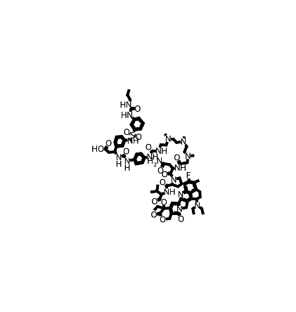 CCCNC(=O)Nc1cccc(S(=O)(=O)Nc2cccc(C(CC(=O)O)NC(=O)Nc3ccc(NC(=O)NCCN(C)CCN(C)CCN(C)CC(=O)NC(CC(N)=O)C(=O)N4CCCC4C(=O)NC(C(=O)OC4(CC)C(=O)OCc5c4cc4n(c5=O)Cc5c-4nc4cc(F)c(C)c6c4c5C(N(CC)CC)CC6)C(C)C)cc3)c2)c1